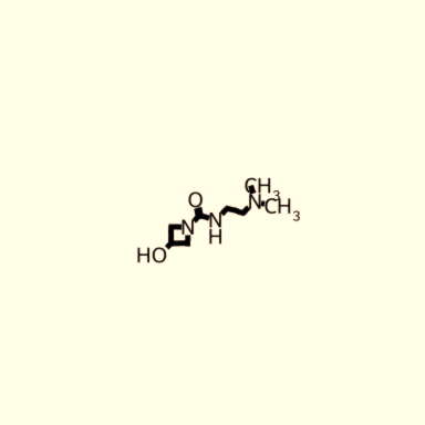 CN(C)CCNC(=O)N1CC(O)C1